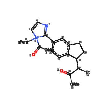 CCCCC[N+]1(C(=O)OC)C=CN=C1c1ccc2c(c1)CCC2C(CC)C(=O)OC